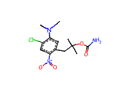 CN(C)c1cc(CC(C)(C)OC(N)=O)c([N+](=O)[O-])cc1Cl